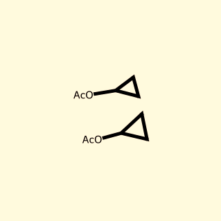 CC(=O)OC1CC1.CC(=O)OC1CC1